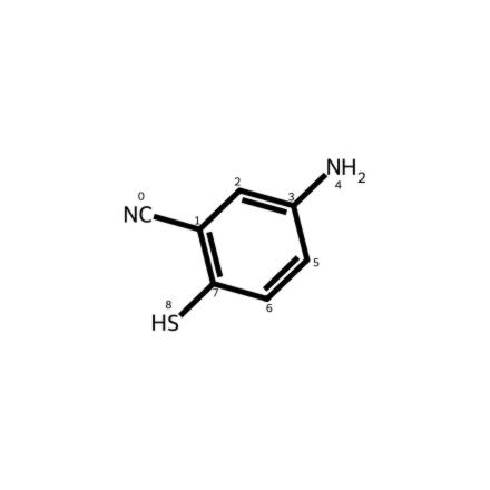 N#Cc1cc(N)ccc1S